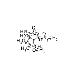 C=CC(=O)[O][Ti+]([O]C(=O)C=C)[C]1=C(C)C(C)=C(C)C1(C)C.C[O-]